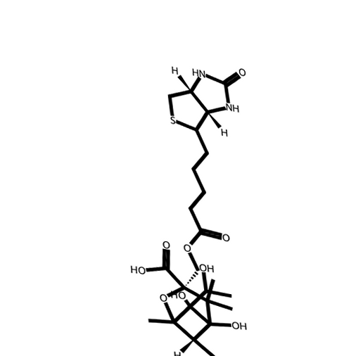 CC(O)C1(O)C2(C)O[C@@](COC(=O)CCCCC3SC[C@@H]4NC(=O)N[C@H]34)(C(=O)O)C(C)(C)C1(O)[C@@H]2C